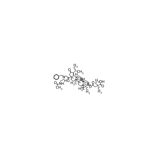 CC(=O)NCCN(Cc1ccccc1)C[C@H](O)[C@@]12CC[C@]3(C)[C@H](CC[C@@H]4[C@@]5(C)CC[C@@H](OC(=O)CC(C)(C)C(=O)O)C(C)(C)[C@@H]5CC[C@]43C)C1=C(C(C)C)C(=O)C2